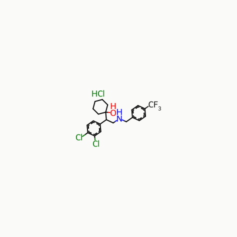 Cl.OC1(C(CNCc2ccc(C(F)(F)F)cc2)c2ccc(Cl)c(Cl)c2)CCCCC1